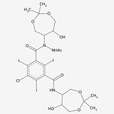 CC(=O)NN(C(=O)c1c(I)c(Cl)c(I)c(C(=O)NC2COC(C)(C)OCC2O)c1I)C1COC(C)(C)OCC1O